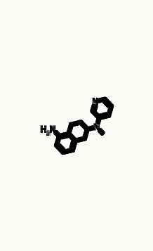 CN(c1cccnc1)C1CCc2c(N)cccc2C1